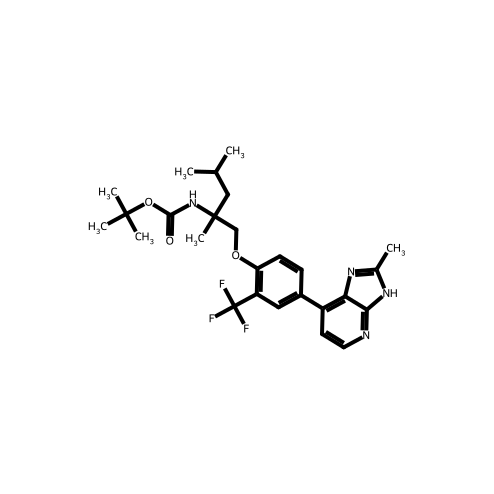 Cc1nc2c(-c3ccc(OCC(C)(CC(C)C)NC(=O)OC(C)(C)C)c(C(F)(F)F)c3)ccnc2[nH]1